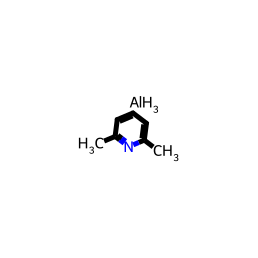 Cc1cccc(C)n1.[AlH3]